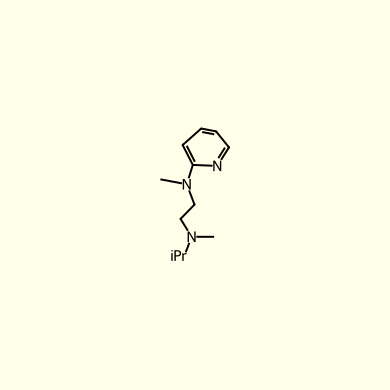 CC(C)N(C)CCN(C)c1ccccn1